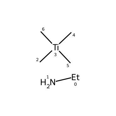 CCN.[CH3][Ti]([CH3])([CH3])[CH3]